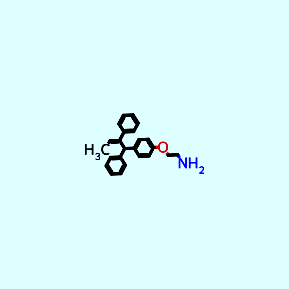 C/C=C(/c1ccccc1)C(c1ccccc1)c1ccc(OCCN)cc1